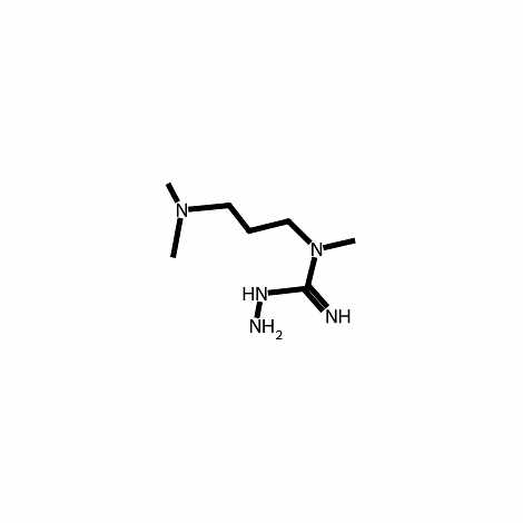 CN(C)CCCN(C)C(=N)NN